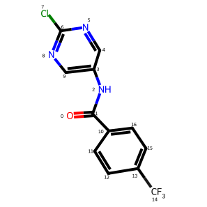 O=C(Nc1cnc(Cl)nc1)c1ccc(C(F)(F)F)cc1